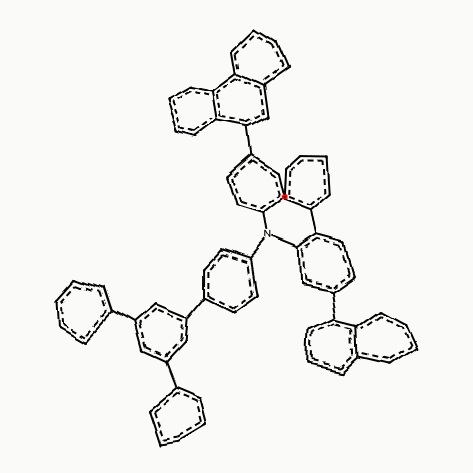 c1ccc(-c2cc(-c3ccccc3)cc(-c3ccc(N(c4ccc(-c5cc6ccccc6c6ccccc56)cc4)c4cc(-c5cccc6ccccc56)ccc4-c4ccccc4)cc3)c2)cc1